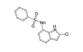 O=S(=O)(Nc1cccc2cc(Cl)[nH]c12)c1ccccc1